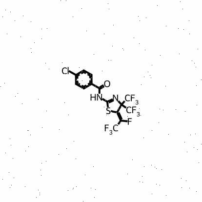 O=C(NC1=NC(C(F)(F)F)(C(F)(F)F)C(=C(F)C(F)(F)F)S1)c1ccc(Cl)cc1